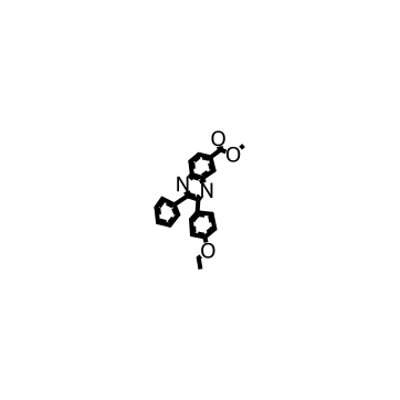 CCOc1ccc(-c2nc3cc(C(=O)OC)ccc3nc2-c2ccccc2)cc1